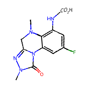 CN1Cc2nn(C)c(=O)n2-c2cc(F)cc(NC(=O)O)c21